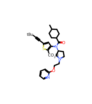 CC1CCC(C(=O)N(c2cc(C#CC(C)(C)C)sc2C(=O)O)[C@H]2CCN(CCOc3ccccn3)C2)CC1